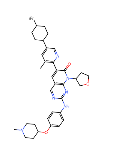 Cc1cc(C2CCC(C(C)C)CC2)cnc1-c1cc2cnc(Nc3ccc(OC4CCN(C)CC4)cc3)nc2n(C2CCOC2)c1=O